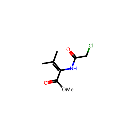 COC(=O)C(NC(=O)CCl)=C(C)C